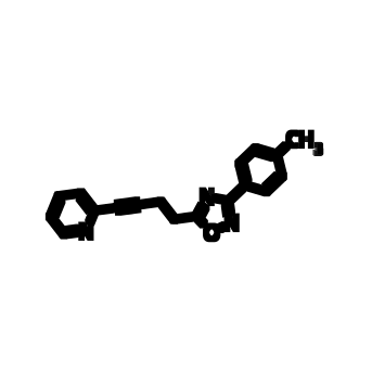 Cc1ccc(-c2noc(CCC#Cc3ccccn3)n2)cc1